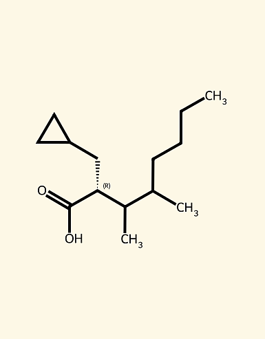 CCCCC(C)C(C)[C@@H](CC1CC1)C(=O)O